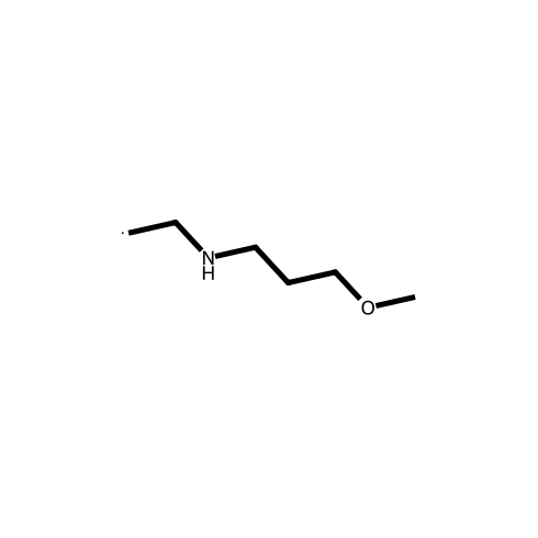 [CH2]CNCCCOC